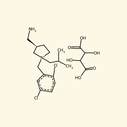 CC(C)C[N+]1(Cc2cc(Cl)ccc2Cl)CC[C@H](CN)C1.O=C(O)C(O)C(O)C(=O)O